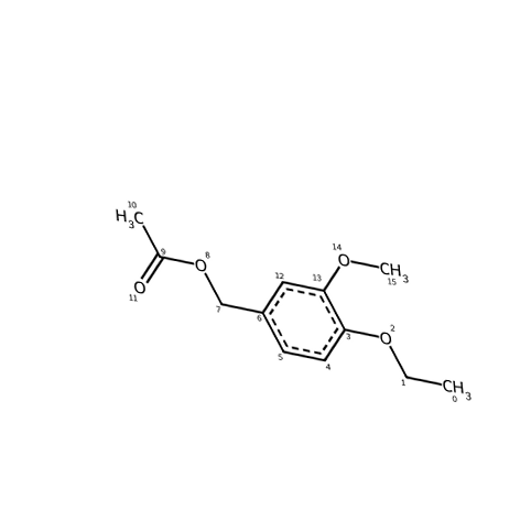 CCOc1ccc(COC(C)=O)cc1OC